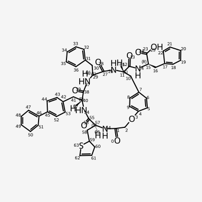 O=C1COc2ccc(cc2)C[C@@H](C(=O)N[C@H](Cc2ccccc2)C(=O)O)NC(=O)[C@H](Cc2ccccc2)NC(=O)[C@@H](Cc2ccc(-c3ccccc3)cc2)NC(=O)[C@H](CC2CC=CS2)N1